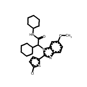 COc1ccc2nc(-c3ccc(Cl)s3)n(C(C(=O)NC3CCCCC3)C3CCCCC3)c2c1